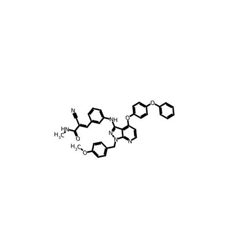 CNC(=O)/C(C#N)=C/c1cccc(Nc2nn(Cc3ccc(OC)cc3)c3nccc(Oc4ccc(Oc5ccccc5)cc4)c23)c1